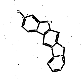 Clc1ccc2c(c1)[nH]c1cc3c(cc12)-c1ccccc1C3